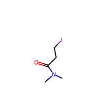 CN(C)C(=O)CCI